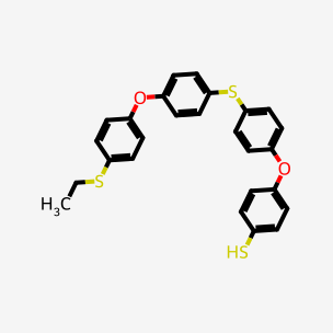 CCSc1ccc(Oc2ccc(Sc3ccc(Oc4ccc(S)cc4)cc3)cc2)cc1